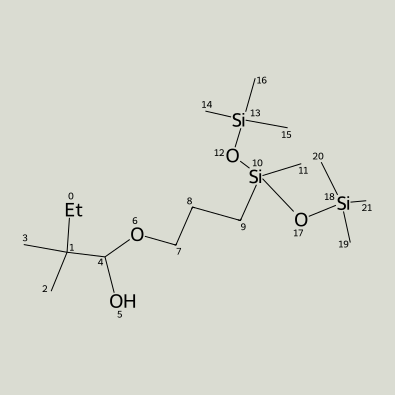 CCC(C)(C)C(O)OCCC[Si](C)(O[Si](C)(C)C)O[Si](C)(C)C